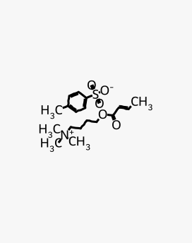 CC=CC(=O)OCCCC[N+](C)(C)C.Cc1ccc(S(=O)(=O)[O-])cc1